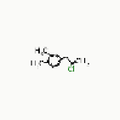 C=C(Cl)Cc1ccc(C)c(C)c1